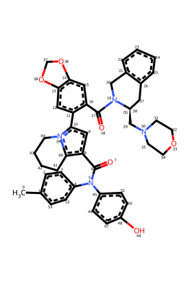 Cc1ccc(N(C(=O)c2cc(-c3cc4c(cc3C(=O)N3Cc5ccccc5C[C@H]3CN3CCOCC3)OCO4)n3c2CCCC3)c2ccc(O)cc2)cc1